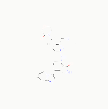 CN(C)Cc1nc(Nc2ccc(-c3cnc4cc(F)ccn34)c3c2C(=O)NC3)ccc1C(C)(C)N1CCOCC1=O